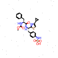 COC(=O)N[C@@H](Cc1ccccc1)C(=O)N[C@@H](Cc1ccc(NS(=O)(=O)O)cc1)c1nc(C2CC2)cs1